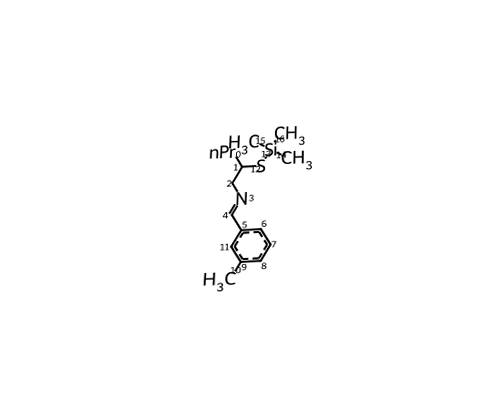 CCCC(CN=Cc1cccc(C)c1)S[Si](C)(C)C